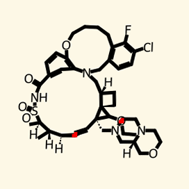 CCOC1[C@@]23CC[C@H]2CN2Cc4ccc(Cl)c(F)c4CCCCOc4ccc(cc42)C(=O)NS(=O)(=O)[C@H](C)[C@@H](C)[C@H]2C=C(C2)[C@]13CN1CCN2CCOC[C@@H]2C1